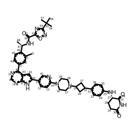 Cc1cc(-c2ncnc3[nH]c(-c4ccc(N5CCN(C6CC(c7ccc(N[C@H]8CCC(=O)NC8=O)cc7)C6)CC5)nc4)cc23)ccc1[C@@H](C)NC(=O)c1nc(C(C)(C)C)no1